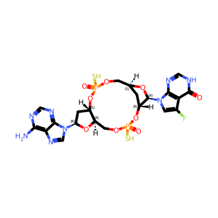 Nc1ncnc2c1ncn2[C@H]1C[C@@H]2OP(=O)(S)OC[C@@H]3C[C@@H](OP(=O)(S)OC[C@H]2O1)[C@H](n1cc(F)c2c(=O)[nH]cnc21)O3